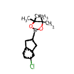 CC1(C)OB(C2Cc3ccc(Cl)cc3C2)OC1(C)C